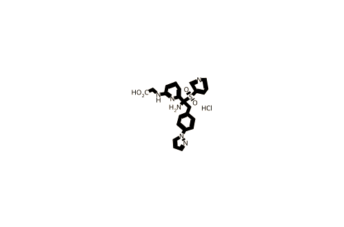 Cl.NC(Cc1ccc(-n2cccn2)cc1)(c1cccc(NCC(=O)O)n1)S(=O)(=O)c1cccnc1